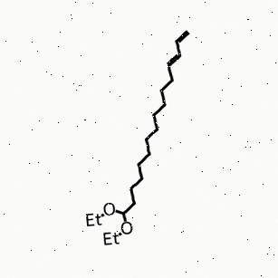 C=C/C=C/CCCCCCCCCCCC(OCC)OCC